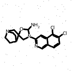 NC1OC2(CN3CCC2CC3)CN1c1cc2c(Cl)c(Cl)ccc2cn1